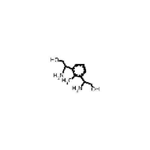 Cc1c(C(N)CO)cccc1C(N)CO